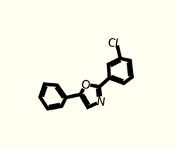 Clc1cccc(-c2ncc(-c3ccccc3)o2)c1